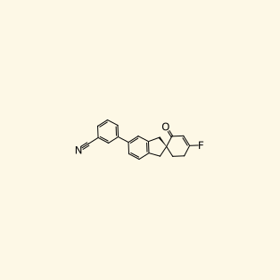 N#Cc1cccc(-c2ccc3c(c2)C[C@@]2(CCC(F)=CC2=O)C3)c1